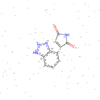 O=C1C=CC(=O)N1.c1ccc2[nH]nnc2c1